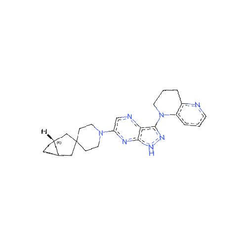 c1cnc2c(c1)N(c1n[nH]c3nc(N4CCC5(CC4)CC4C[C@@H]4C5)cnc13)CCC2